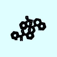 O=C(Nc1ccccn1)c1cccc(CN(C2CCCc3cccnc32)S(=O)(=O)c2ccccc2[N+](=O)[O-])c1